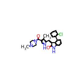 Cc1c(C(=O)N2CCN(C)CC2)c[nH]c1/C=C1\C(=O)Nc2cccc(-c3ccccc3Cl)c21